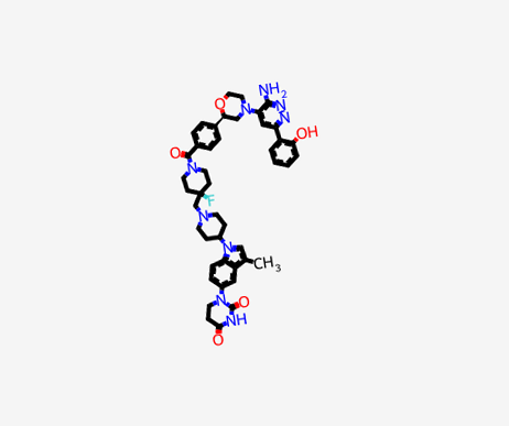 Cc1cn(C2CCN(CC3(F)CCN(C(=O)c4ccc([C@@H]5CN(c6cc(-c7ccccc7O)nnc6N)CCO5)cc4)CC3)CC2)c2ccc(N3CCC(=O)NC3=O)cc12